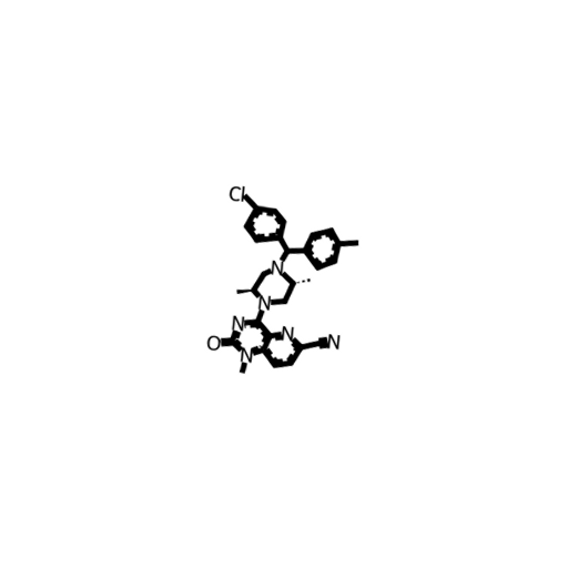 Cc1ccc(C(c2ccc(Cl)cc2)N2C[C@H](C)N(c3nc(=O)n(C)c4ccc(C#N)nc34)C[C@H]2C)cc1